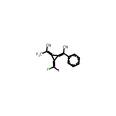 N#C/C(=C1/C(=C(F)I)/C1=C(/C#N)c1ccccc1)C(F)(F)F